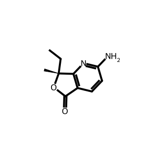 CC[C@@]1(C)OC(=O)c2ccc(N)nc21